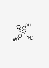 Cl.Oc1ccc(-c2c(CCCN3CCCCC3)cc3cc(O)ccc3c2Oc2ccccc2)cc1